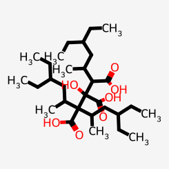 CCC(CC)CC(C)C(C(=O)O)C(O)(C(=O)O)C(C(=O)O)(C(C)CC(CC)CC)C(C)CC(CC)CC